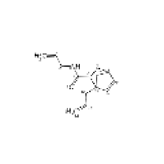 C=CCNC(=O)C1CC2C=CC1(CC=C)C2